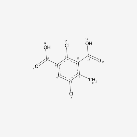 Cc1c(Cl)cc(C(=O)O)c(Cl)c1C(=O)O